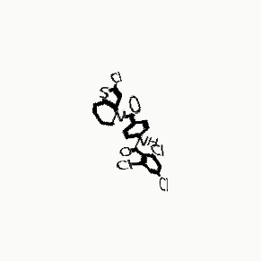 O=C(Nc1ccc(C(=O)N2CCCCc3sc(Cl)cc32)cc1)c1c(Cl)cc(Cl)cc1Cl